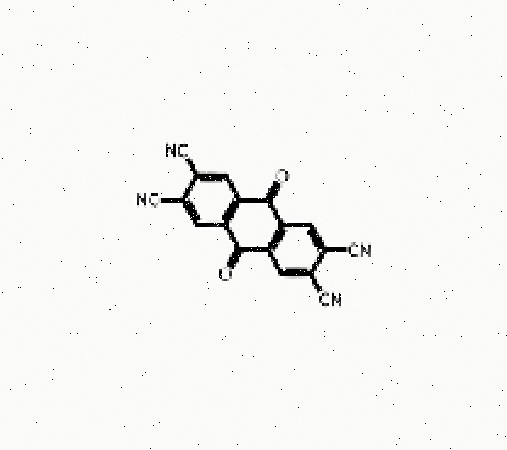 N#Cc1cc2c(cc1C#N)C(=O)c1cc(C#N)c(C#N)cc1C2=O